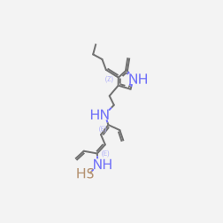 C=C/C(=C\C=C(/C=C)NCCc1c[nH]c(=C)/c1=C\CCC)NS